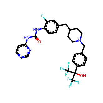 O=C(Nc1ccncn1)Nc1ccc(CC2CCN(Cc3ccc(C(O)(C(F)(F)F)C(F)(F)F)cc3)CC2)cc1F